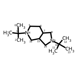 CC(C)(C)N1CCC2CN(C(C)(C)C)CC2C1